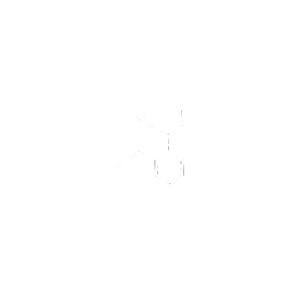 CCC(C#N)c1ccccc1N=C=O